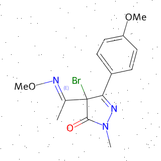 CO/N=C(\C)C1(Br)C(=O)N(C)N=C1c1ccc(OC)cc1